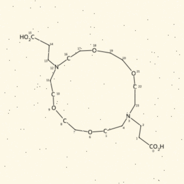 O=C(O)CCN1CCOCCOCCN(CCC(=O)O)CCOCCOCC1